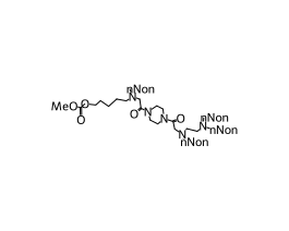 CCCCCCCCCN(CCCCCCCCC)CCN(CCCCCCCCC)CC(=O)N1CCN(C(=O)CN(CCCCCCCCC)CCCCCOC(=O)OC)CC1